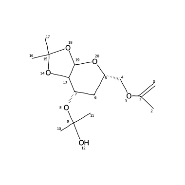 C=C(C)OC[C@@H]1C[C@H](OC(C)(C)O)C2OC(C)(C)OC2O1